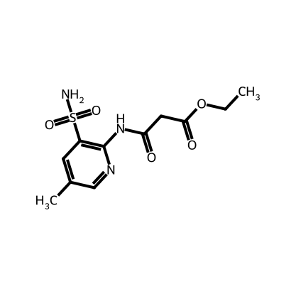 CCOC(=O)CC(=O)Nc1ncc(C)cc1S(N)(=O)=O